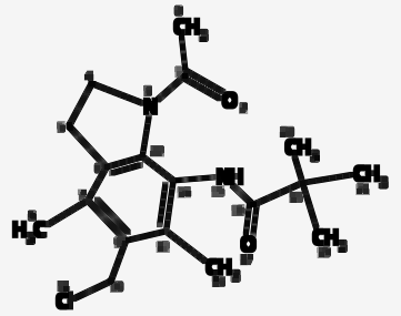 CC(=O)N1CCc2c(C)c(CCl)c(C)c(NC(=O)C(C)(C)C)c21